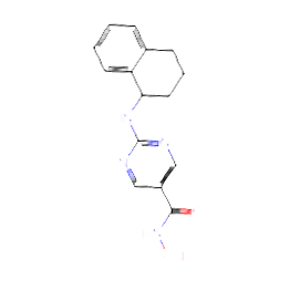 O=C(NO)c1cnc(NC2CCCc3ccccc32)nc1